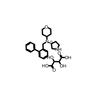 O=C(O)C(O)C(O)C(=O)O.c1ccc(-c2ccccc2CN(C2CCOCC2)[C@H]2CCNC2)cc1